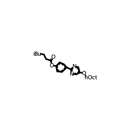 CCCCCCCCOc1cnc(-c2ccc(OC(=O)CCC(C)CC)cc2)nc1